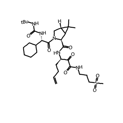 C=CCC[C@@H](NC(=O)[C@@H]1C2[C@H](CN1C(=O)[C@@H](NC(=O)NC(C)(C)C)C1CCCCC1)C2(C)C)C(=O)C(=O)NCCCS(C)(=O)=O